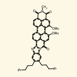 CC(C)CCCc1cc2nc3c4ccc5c6ccc7c8c(cc(OCC(C)C)c(c9c(OCC(C)C)cc(c(=O)n3c2cc1CCCC(C)C)c4c59)c86)C(=O)N(C)C7=O